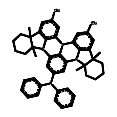 CC(C)(C)c1cc2c3c(c1)C1(C)CCCCC1(C)N3c1cc(N(c3ccccc3)c3ccccc3)cc3c1B2c1cc(C(C)(C)C)cc2c1N3C1(C)CCCCC21C